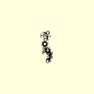 CC(=O)N[C@@H](C)CO[C@H]1CC[C@H](Oc2ncc3nc(OC4COC4)sc3c2F)CC1